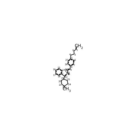 C=CCCCc1ccc(C=NN=C(c2ccccc2)C2CCC(C)CC2)cc1